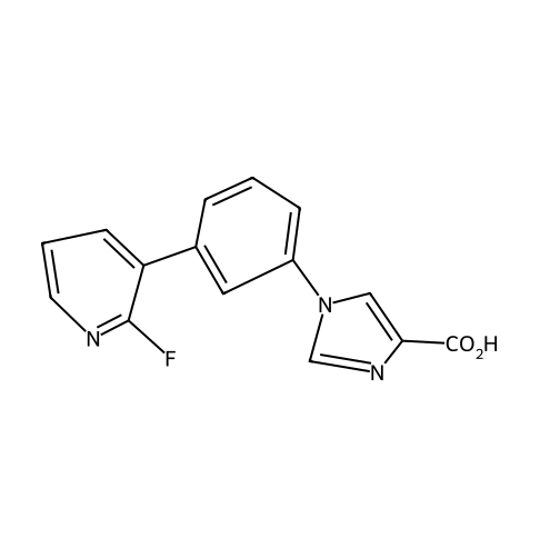 O=C(O)c1cn(-c2cccc(-c3cccnc3F)c2)cn1